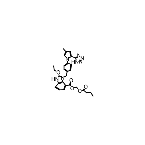 CCCC(=O)OCOC(=O)c1cccc2c1N(Cc1ccc(-n3cc(C)cc3-c3nnn[nH]3)cc1)C(OCC)N2